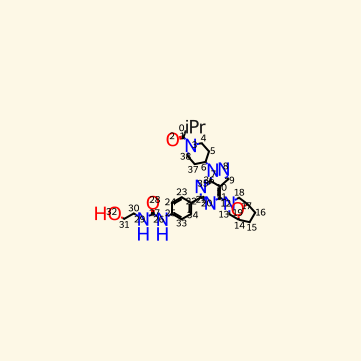 CC(C)C(=O)N1CCC(n2ncc3c(N4CC5CCC(C4)O5)nc(-c4ccc(NC(=O)NCCO)cc4)nc32)CC1